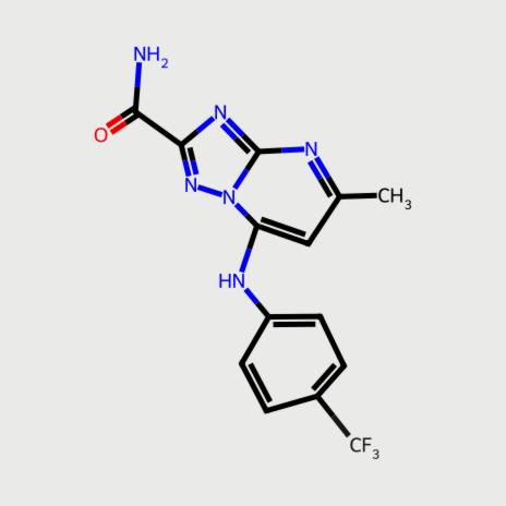 Cc1cc(Nc2ccc(C(F)(F)F)cc2)n2nc(C(N)=O)nc2n1